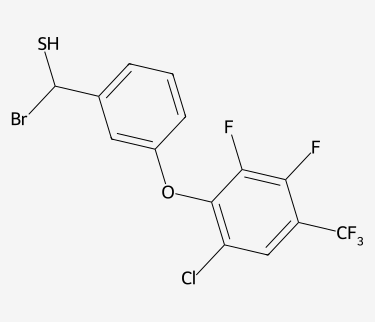 Fc1c(C(F)(F)F)cc(Cl)c(Oc2cccc(C(S)Br)c2)c1F